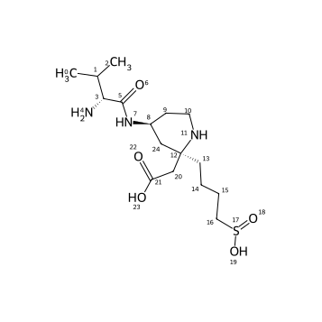 CC(C)[C@@H](N)C(=O)N[C@H]1CCN[C@@](CCCCS(=O)O)(CC(=O)O)C1